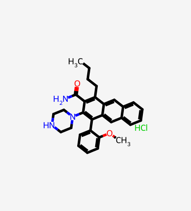 CCCCc1c(C(N)=O)c(N2CCNCC2)c(-c2ccccc2OC)c2cc3ccccc3cc12.Cl